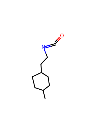 CC1CCC(CCN=C=O)CC1